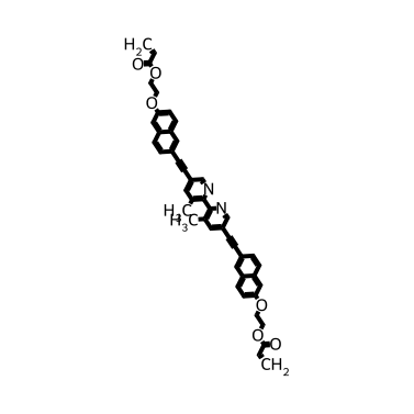 C=CC(=O)OCCOc1ccc2cc(C#Cc3cnc(-c4ncc(C#Cc5ccc6cc(OCCOC(=O)C=C)ccc6c5)cc4C)c(C)c3)ccc2c1